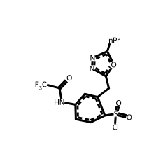 CCCc1nnc(Cc2cc(NC(=O)C(F)(F)F)ccc2S(=O)(=O)Cl)o1